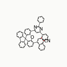 N#Cc1ccc(-c2cccc3c2Oc2c(-c4cc(-c5ccccc5)nc(-c5ccccc5)n4)cccc2C32c3ccccc3-c3ccccc32)c2ccccc12